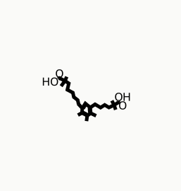 Cc1c(CCCCCCC(C)(C)C(=O)O)cc(CCCCC(C)(C)C(=O)O)c(C)c1C